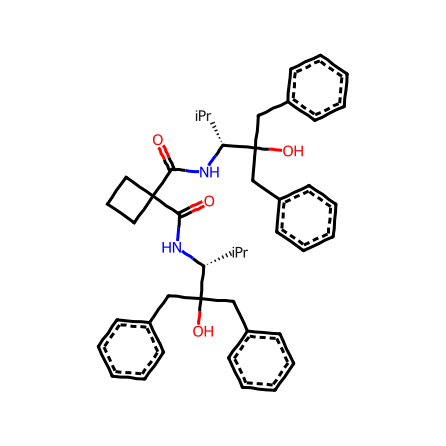 CC(C)[C@@H](NC(=O)C1(C(=O)N[C@H](C(C)C)C(O)(Cc2ccccc2)Cc2ccccc2)CCC1)C(O)(Cc1ccccc1)Cc1ccccc1